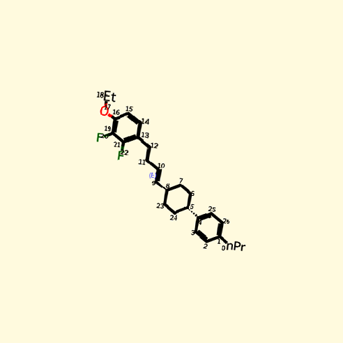 CCCc1ccc([C@H]2CC[C@H](/C=C/CCc3ccc(OCC)c(F)c3F)CC2)cc1